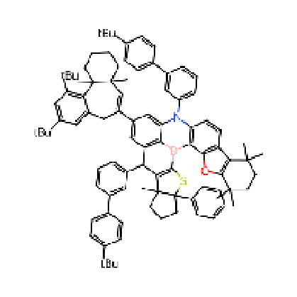 CC(C)(C)c1ccc(-c2cccc(C3C4=C(SC5(c6ccccc6)CCCC45C)B4c5c3cc(C3=CC6(C)CCCCC6(C)c6c(cc(C(C)(C)C)cc6C(C)(C)C)C3)cc5N(c3cccc(-c5ccc(C(C)(C)C)cc5)c3)c3ccc5c6c(oc5c34)C(C)(C)CCC6(C)C)c2)cc1